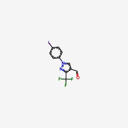 O=Cc1cn(-c2ccc(I)cc2)nc1C(F)(F)F